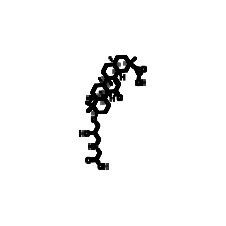 CC1(C)[C@@H](OCC(O)CNCC(=O)O)CC[C@]2(C)[C@H]3C(=O)C=C4[C@@H]5C[C@@](C)(C6OC6O)CC[C@]5(C)CC[C@@]4(C)[C@]3(C)CC[C@@H]12